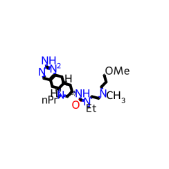 CCCN1C[C@@H](NC(=O)N(CC)CCN(C)CCCOC)C[C@@H]2Cc3nc(N)ncc3C[C@H]21